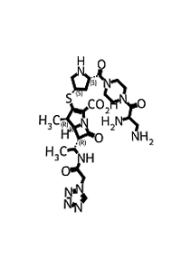 CC(NC(=O)Cn1cnnn1)[C@H]1C(=O)N2C(C(=O)O)=C(S[C@@H]3CN[C@H](C(=O)N4CCN(C(=O)C(N)CN)CC4)C3)[C@H](C)[C@H]12